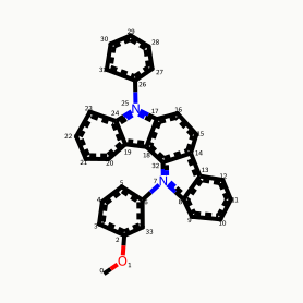 COc1cccc(-n2c3ccccc3c3ccc4c(c5ccccc5n4-c4ccccc4)c32)c1